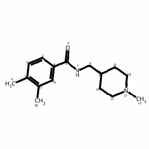 Cc1ccc(C(=O)NCC2CCN(C)CC2)cc1C